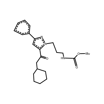 CC(C)(C)OC(=O)NCCCn1nc(-c2ccccc2)cc1C(=O)CC1CCCCC1